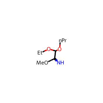 CCCOC(OCC)C(=N)OC